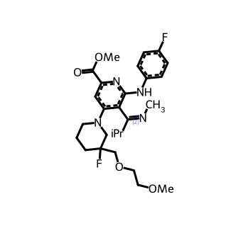 C/N=C(\c1c(N2CCCC(F)(COCCOC)C2)cc(C(=O)OC)nc1Nc1ccc(F)cc1)C(C)C